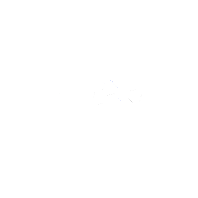 COc1cc2c(Nc3ccccc3)nnnc2cc1OCCCCl